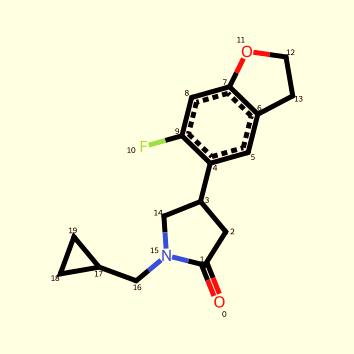 O=C1CC(c2cc3c(cc2F)OCC3)CN1CC1CC1